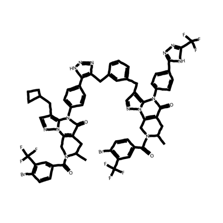 CC1Cc2c(n3ncc(Cc4cccc(Cc5nn[nH]c5-c5ccc(-n6c(=O)c7c(n8ncc(CC9CCC9)c68)CN(C(=O)c6ccc(Br)c(C(F)(F)F)c6)C(C)C7)cc5)c4)c3n(-c3ccc(-c4nnc(C(F)(F)F)[nH]4)cc3)c2=O)CN1C(=O)c1ccc(Br)c(C(F)(F)F)c1